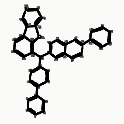 c1ccc(-c2ccc(N(c3ccc4cc(-c5ccccc5)ccc4c3)c3cccc4c3oc3ccncc34)cc2)cc1